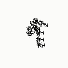 CCc1c(-c2ccnn2-c2ccc(C#N)cc2)cn2nc(NCCCNCC3CNC3)nc2c1-c1cccc(C(F)(F)F)c1